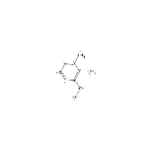 CCOc1[c]ncc(C)c1C